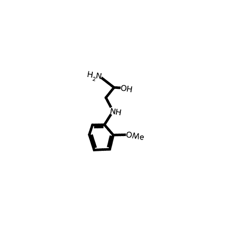 COc1ccccc1NCC(N)O